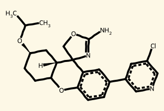 CC(C)O[C@@H]1CCC2Oc3ccc(-c4cncc(Cl)c4)cc3C3(COC(N)=N3)[C@H]2C1